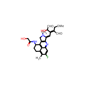 COC/C(C=O)=C(/C=C1/c2nc3cc(F)c(C)c4c3c(c2CN1C)C(NC(=O)CO)CC4)C(O)C=O